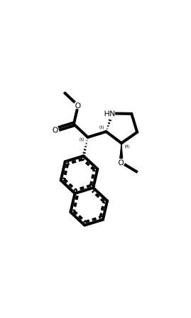 COC(=O)[C@@H](c1ccc2ccccc2c1)[C@@H]1NCC[C@H]1OC